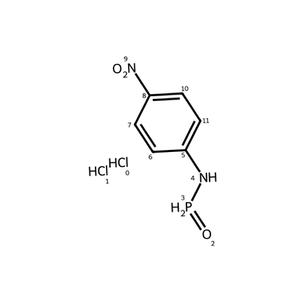 Cl.Cl.O=[PH2]Nc1ccc([N+](=O)[O-])cc1